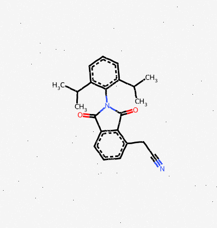 CC(C)c1cccc(C(C)C)c1N1C(=O)c2cccc(CC#N)c2C1=O